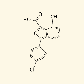 Cc1cccc2c(-c3ccc(Cl)cc3)oc(C(=O)O)c12